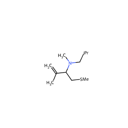 C=C(C)C(CSC)N(C)CC(C)C